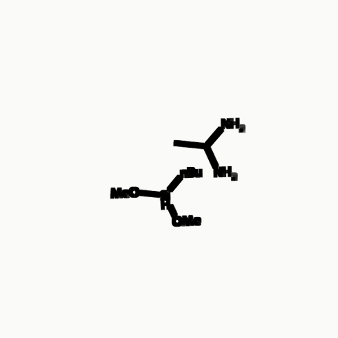 CC(N)N.CCCC[SiH](OC)OC